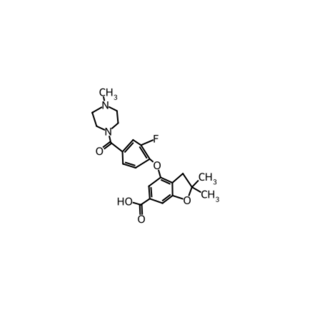 CN1CCN(C(=O)c2ccc(Oc3cc(C(=O)O)cc4c3CC(C)(C)O4)c(F)c2)CC1